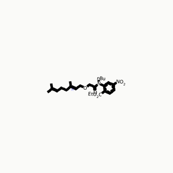 CCCCN(C(=O)COC/C=C(\C)CCC=C(C)C)c1cc([N+](=O)[O-])ccc1C(=O)OCC